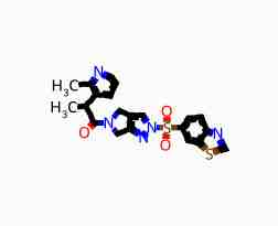 Cc1ncccc1C(C)C(=O)N1Cc2cn(S(=O)(=O)c3ccc4ncsc4c3)nc2C1